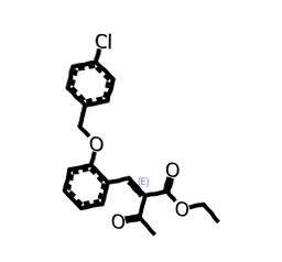 CCOC(=O)/C(=C/c1ccccc1OCc1ccc(Cl)cc1)C(C)=O